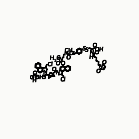 CN(CCN(C)C(=O)Oc1cc2c(c3ccccc13)C(CCl)CN2C(=O)C12CC3(C(=O)N4CC(CCl)c5c4cc(O[PH](=O)O)c4ccccc54)CC13C2)C(=O)OCc1ccc(SSCC(NC(=O)CCCCCN2C(=O)C=CC2=O)C(=O)O)cc1